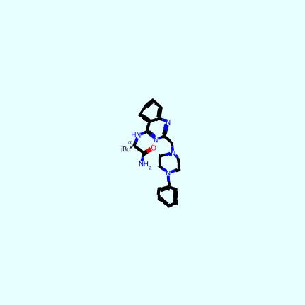 CCC(C)[C@H](Nc1nc(CN2CCN(c3ccccc3)CC2)nc2ccccc12)C(N)=O